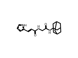 O=C(/C=C/c1ccc[nH]1)NCC(=O)NC12CC3CC(CC(C3)C1)C2